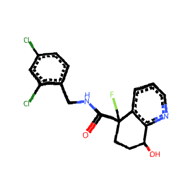 O=C(NCc1ccc(Cl)cc1Cl)C1(F)CCC(O)c2ncccc21